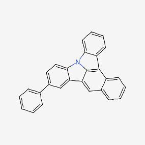 c1ccc(-c2ccc3c(c2)c2cc4ccccc4c4c5ccccc5n3c24)cc1